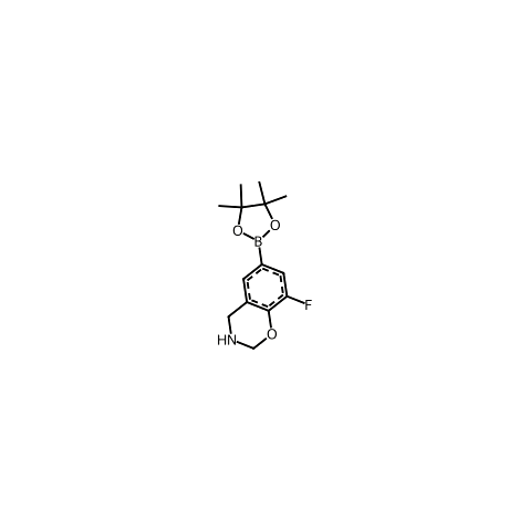 CC1(C)OB(c2cc(F)c3c(c2)CNCO3)OC1(C)C